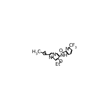 CCOc1cc2nc(C34CC(C)(C3)C4)cn2cc1NC(=O)c1cccc(C(F)(F)F)n1